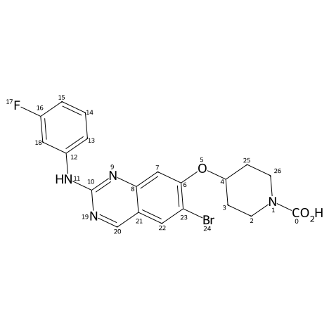 O=C(O)N1CCC(Oc2cc3nc(Nc4cccc(F)c4)ncc3cc2Br)CC1